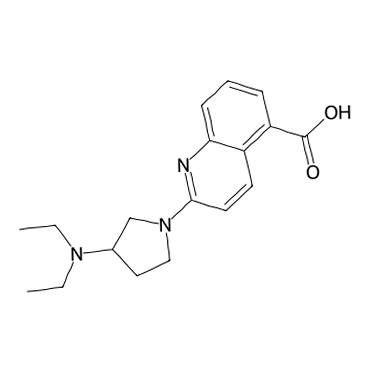 CCN(CC)C1CCN(c2ccc3c(C(=O)O)cccc3n2)C1